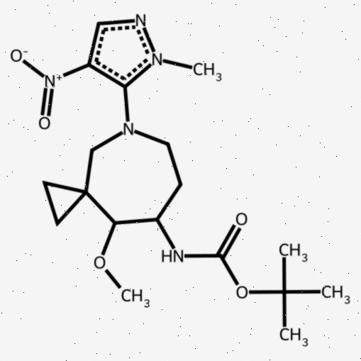 COC1C(NC(=O)OC(C)(C)C)CCN(c2c([N+](=O)[O-])cnn2C)CC12CC2